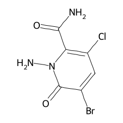 NC(=O)c1c(Cl)cc(Br)c(=O)n1N